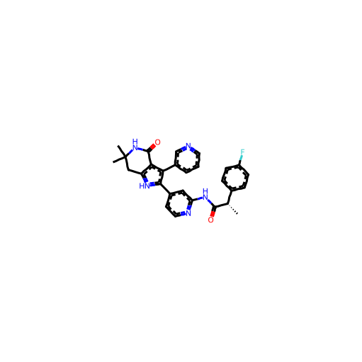 C[C@H](C(=O)Nc1cc(-c2[nH]c3c(c2-c2cccnc2)C(=O)NC(C)(C)C3)ccn1)c1ccc(F)cc1